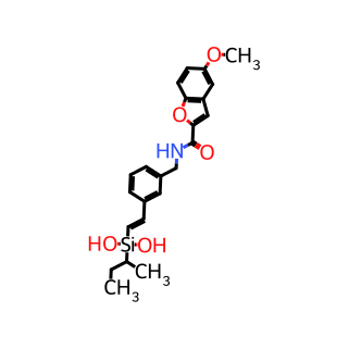 CCC(C)[Si](O)(O)/C=C/c1cccc(CNC(=O)c2cc3cc(OC)ccc3o2)c1